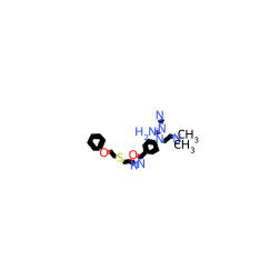 CN(C)CCN(/C(N)=N/C#N)c1ccc(-c2nnc(CSCCOc3ccccc3)o2)cc1